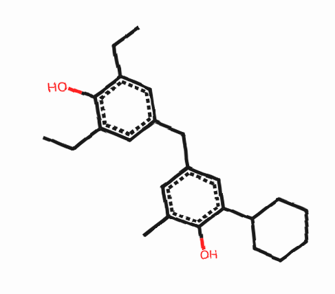 CCc1cc(Cc2cc(C)c(O)c(C3CCCCC3)c2)cc(CC)c1O